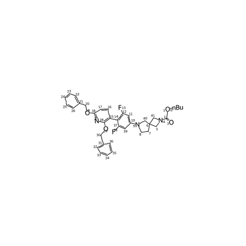 CCCCOC(=O)N1CC2(CCN(c3cc(F)c(-c4ccc(OCc5ccccc5)nc4OCc4ccccc4)c(F)c3)C2)C1